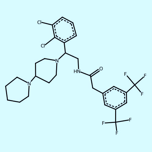 O=C(Cc1cc(C(F)(F)F)cc(C(F)(F)F)c1)NCC(c1cccc(Cl)c1Cl)N1CCC(N2CCCCC2)CC1